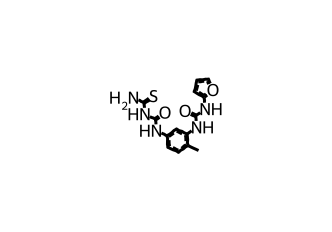 Cc1ccc(NC(=O)NC(N)=S)cc1NC(=O)Nc1ccco1